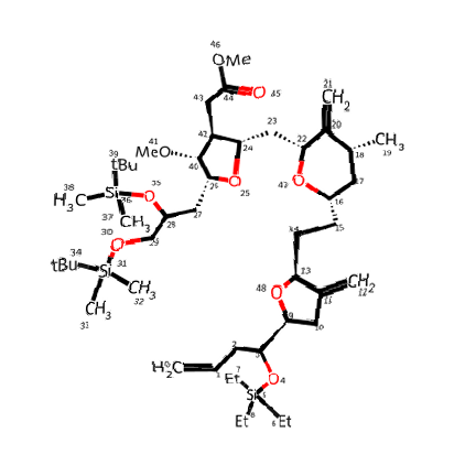 C=CCC(O[Si](CC)(CC)CC)[C@@H]1CC(=C)[C@H](CC[C@H]2C[C@@H](C)C(=C)[C@@H](C[C@@H]3O[C@H](CC(CO[Si](C)(C)C(C)(C)C)O[Si](C)(C)C(C)(C)C)[C@H](OC)[C@H]3CC(=O)OC)O2)O1